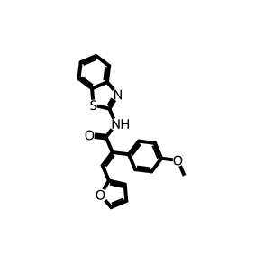 COc1ccc(C(=Cc2ccco2)C(=O)Nc2nc3ccccc3s2)cc1